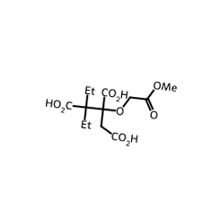 CCC(CC)(C(=O)O)C(CC(=O)O)(OCC(=O)OC)C(=O)O